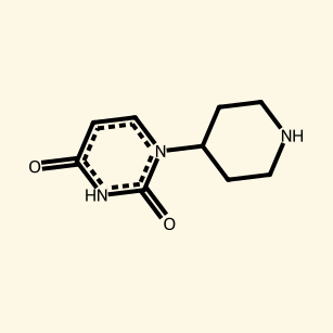 O=c1ccn(C2CCNCC2)c(=O)[nH]1